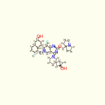 CCc1c(F)ccc2cc(O)cc(-c3ncc4c(N5CCCC6(C5)C[C@@]5(O)CC65)nc(OCC56CCCN5CCC6)nc4c3F)c12